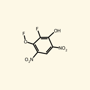 O=[N+]([O-])c1cc([N+](=O)[O-])c(OF)c(F)c1O